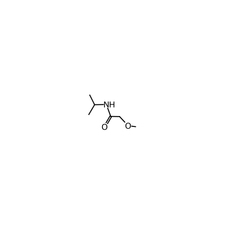 COCC(=O)NC(C)C